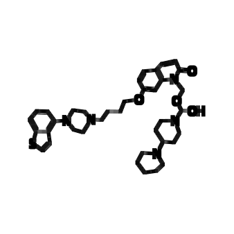 O=c1ccc2ccc(OCCCCN3CCN(c4cccc5sccc45)CC3)cc2n1COC(O)N1CCC(N2CCCCC2)CC1